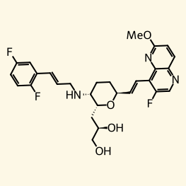 COc1ccc2ncc(F)c(C=C[C@@H]3CC[C@@H](NCC=Cc4cc(F)ccc4F)[C@@H](C[C@@H](O)CO)O3)c2n1